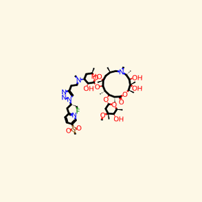 CO[C@]1(C)C[C@H](O[C@H]2[C@H](C)[C@@H](O[C@@H]3O[C@H](C)C[C@H](N(C)CCc4cn([C@H](CF)Cc5ccc(S(C)(=O)=O)cn5)nn4)[C@H]3O)[C@](C)(O)C[C@@H](C)CN(C)[C@H](C)[C@@H](O)[C@](C)(O)[C@@H](C)OC(=O)[C@@H]2C)O[C@@H](C)[C@@H]1O